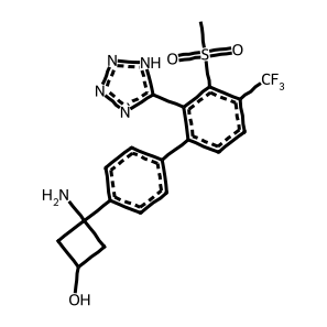 CS(=O)(=O)c1c(C(F)(F)F)ccc(-c2ccc(C3(N)CC(O)C3)cc2)c1-c1nnn[nH]1